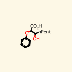 CCCCCC(O)[C@@H](Oc1ccccc1)C(=O)O